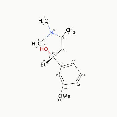 CC[C@@](O)(CC(C)N(C)C)c1cccc(OC)c1